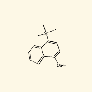 COc1cc[c]([Sn]([CH3])([CH3])[CH3])c2ccccc12